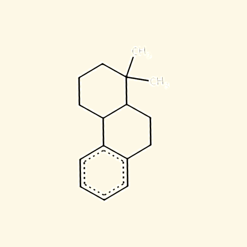 CC1(C)CCCC2c3ccccc3CCC21